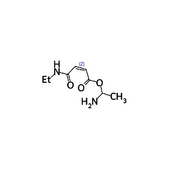 CCNC(=O)/C=C\C(=O)OC(C)N